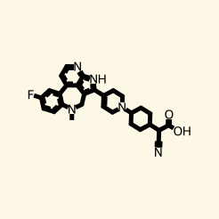 CN1Cc2c(C3=CCN(C4CCC(C(C#N)C(=O)O)CC4)CC3)[nH]c3nccc(c23)-c2cc(F)ccc21